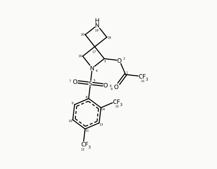 O=C(OC1N(S(=O)(=O)c2ccc(C(F)(F)F)cc2C(F)(F)F)CC12CNC2)C(F)(F)F